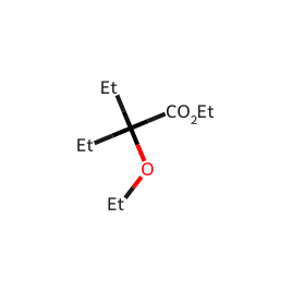 CCOC(=O)C(CC)(CC)OCC